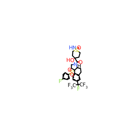 N=S1(=O)CCC(O)(C(=O)N2CC[C@@]3(S(=O)(=O)c4ccc(F)cc4)c4ccc(C(F)(C(F)(F)F)C(F)(F)F)cc4CC[C@@H]23)CC1